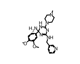 COc1ccc(C2(N)N=C(NCc3cccnc3)N=C(N3CCN(C)CC3)N2)cc1OC